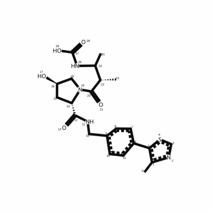 Cc1ncsc1-c1ccc(CNC(=O)[C@@H]2C[C@@H](O)CN2C(=O)[C@@H](C)C(C)NC(=O)O)cc1